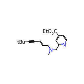 CCOC(=O)c1ccnc(CN(C)CC=CC#CC(C)(C)C)c1